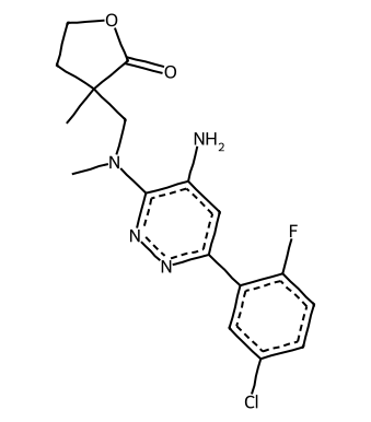 CN(CC1(C)CCOC1=O)c1nnc(-c2cc(Cl)ccc2F)cc1N